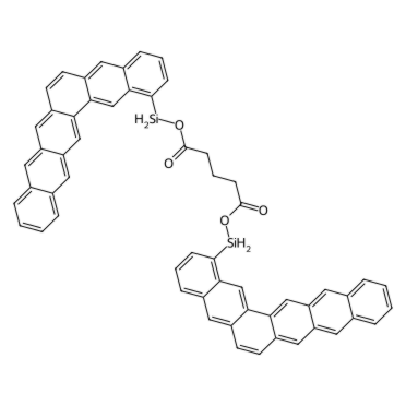 O=C(CCCC(=O)O[SiH2]c1cccc2cc3ccc4cc5cc6ccccc6cc5cc4c3cc12)O[SiH2]c1cccc2cc3ccc4cc5cc6ccccc6cc5cc4c3cc12